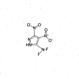 O=[N+]([O-])c1n[nH]c(N(F)F)c1[N+](=O)[O-]